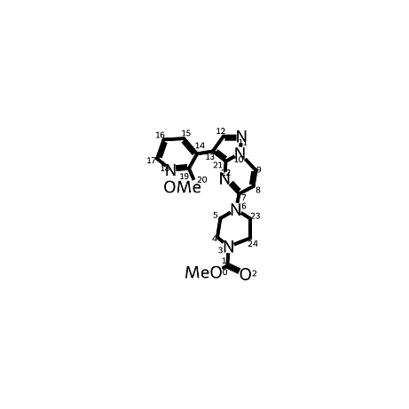 COC(=O)N1CCN(c2ccn3ncc(-c4cccnc4OC)c3n2)CC1